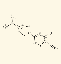 CC(C)C1C2CN(c3ccc(C#N)c(Cl)c3)CC21